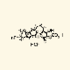 CCCNCc1cc2cc3c(cc2n1C)CCCc1c-3[nH]c(=O)c(OC(=O)O)c1O.Cl